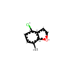 CCc1ccc(Cl)c2ccoc12